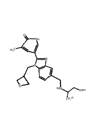 COCC(NCc1ccc2c(c1)nc(-c1c[nH]c(=O)c(C)c1)n2CC1COC1)C(=O)O